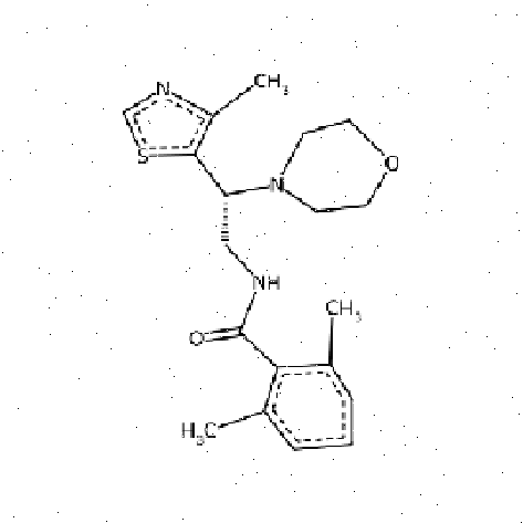 Cc1cccc(C)c1C(=O)NC[C@H](c1scnc1C)N1CCOCC1